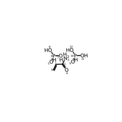 C=CC(N)=O.O=[PH](O)O.O=[PH](O)O